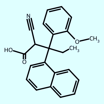 CCC(c1ccccc1OC)(c1cccc2ccccc12)C(C#N)C(=O)O